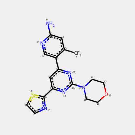 Nc1cc(C(F)(F)F)c(-c2cc(-c3nccs3)nc(N3CCOCC3)n2)cn1